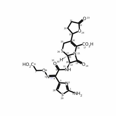 Nc1nc(/C(=N/OCC(=O)O)C(=O)N[C@@H]2C(=O)N3C(C(=O)O)=C(C4CCC(=O)O4)CS[C@H]23)cs1